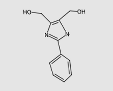 OCC1=C(CO)N=C(c2ccccc2)[N]1